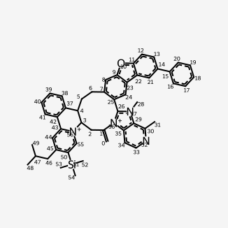 C=C1CC2C(CCc3cc4oc5ccc(-c6ccccc6)cc5c4cc3-c3n(C)c4c(C)nccc4[n+]31)c1ccccc1-c1cc(CC(C)C)c([Si](C)(C)C)c[n+]12